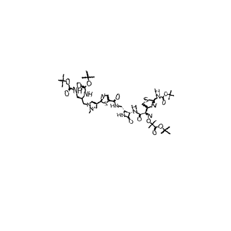 C[n+]1cc(-c2ncc(C(=O)NC[C@H]3NC(=O)[C@H]3NC(=O)/C(=N\OC(C)(C)C(=O)OC(C)(C)C)c3csc(NC(=O)OC(C)(C)C)n3)s2)cn1CC(CNC(=O)OC(C)(C)C)NC(=O)OC(C)(C)C